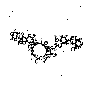 CC[C@H]1OC(=O)[C@H](C)C[C@H](C)C(OC2O[C@H](C)C[C@H](N(C)C(=O)N3CCOCC3)[C@H]2O)[C@](C)(OC)C[C@@H](C)C(=O)[C@H](C)[C@H]2[C@H](SCCOc3cc(C(=O)Nc4c(Cl)cncc4Cl)ccc3OC)C(=O)O[C@@]21C